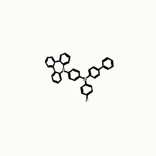 Fc1ccc(N(c2ccc(-c3ccccc3)cc2)c2ccc(N3c4ccccc4-c4ccccc4-c4ccccc43)cc2)cc1